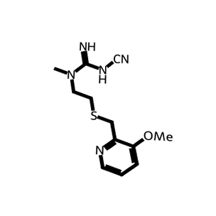 COc1cccnc1CSCCN(C)C(=N)NC#N